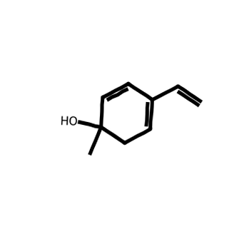 C=CC1=CCC(C)(O)C=C1